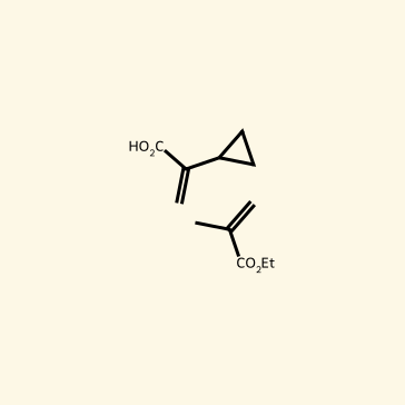 C=C(C(=O)O)C1CC1.C=C(C)C(=O)OCC